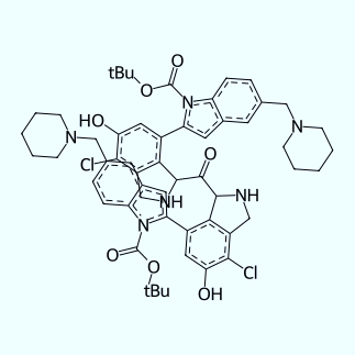 CC(C)(C)OC(=O)n1c(-c2cc(O)c(Cl)c3c2C(C(=O)C2NCc4c(Cl)c(O)cc(-c5cc6cc(CN7CCCCC7)ccc6n5C(=O)OC(C)(C)C)c42)NC3)cc2cc(CN3CCCCC3)ccc21